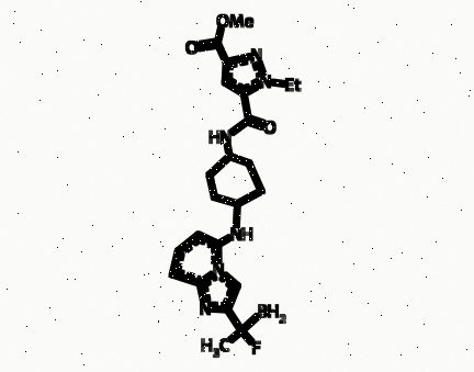 BC(C)(F)c1cn2c(NC3CCC(NC(=O)c4cc(C(=O)OC)nn4CC)CC3)cccc2n1